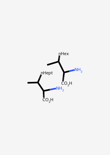 CCCCCCC(C)C(N)C(=O)O.CCCCCCCC(C)C(N)C(=O)O